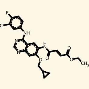 CCOC(=O)C=CC(=O)Nc1cc2c(Nc3ccc(F)c(Cl)c3)ncnc2cc1OCC1CC1